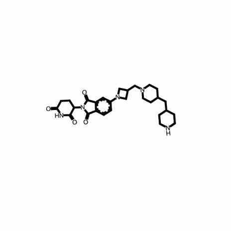 O=C1CCC(N2C(=O)c3ccc(N4CC(CN5CCC(CC6CCNCC6)CC5)C4)cc3C2=O)C(=O)N1